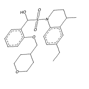 CCc1ccc2c(c1)C(C)CCN2S(=O)(=O)C(O)c1ccccc1OCC1CCOCC1